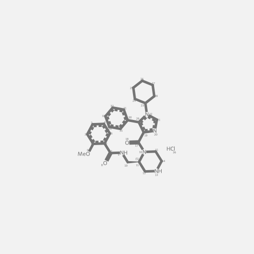 COc1ccccc1C(=O)NC[C@@H]1CNCCN1C(=O)c1ncn(C2CCCCC2)c1-c1ccccc1.Cl